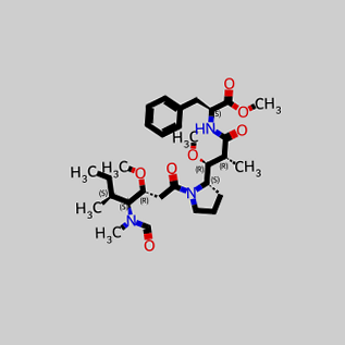 CC[C@H](C)[C@@H]([C@@H](CC(=O)N1CCC[C@H]1[C@H](OC)[C@@H](C)C(=O)N[C@@H](Cc1ccccc1)C(=O)OC)OC)N(C)C=O